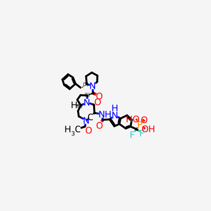 CC(=O)N1CC[C@H]2CC[C@@H](C(=O)N3CCCC[C@H]3Cc3ccccc3)N2C(=O)C(NC(=O)c2cc3cc(C(F)(F)P(=O)(O)O)ccc3[nH]2)C1